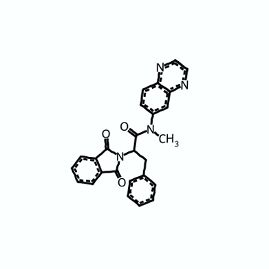 CN(C(=O)C(Cc1ccccc1)N1C(=O)c2ccccc2C1=O)c1ccc2nccnc2c1